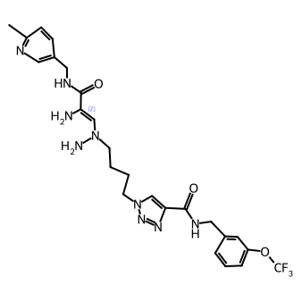 Cc1ccc(CNC(=O)/C(N)=C/N(N)CCCCn2cc(C(=O)NCc3cccc(OC(F)(F)F)c3)nn2)cn1